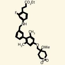 CCOC(=O)CCc1ccc(NCc2cccc(-c3c(C)cc(OCC4(OC)CCS(=O)(=O)CC4)cc3C)c2)cc1F